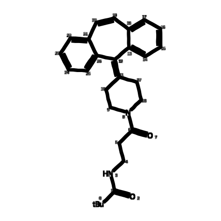 CC(C)(C)C(=O)NCCC(=O)N1CCC(=C2c3ccccc3C=Cc3ccccc32)CC1